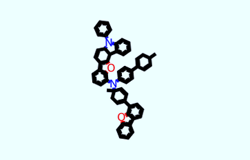 CC1C=CC(c2ccc(N(c3cccc4c5c(oc34)C3c4ccccc4N(c4ccccc4)C3C=C5)C3(C)C=CC(c4cccc5c4oc4ccccc45)=CC3)cc2)=CC1